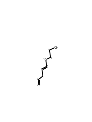 [CH]=CCC=COCCCl